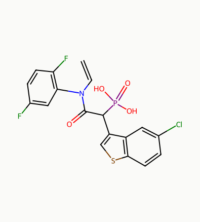 C=CN(C(=O)C(c1csc2ccc(Cl)cc12)P(=O)(O)O)c1cc(F)ccc1F